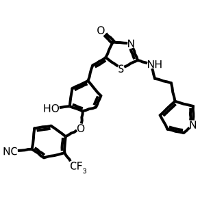 N#Cc1ccc(Oc2ccc(/C=C3\SC(NCCc4cccnc4)=NC3=O)cc2O)c(C(F)(F)F)c1